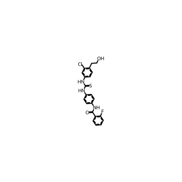 O=C(Nc1ccc(NC(=S)Nc2ccc(CCO)c(Cl)c2)cc1)c1ccccc1F